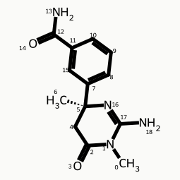 CN1C(=O)C[C@@](C)(c2cccc(C(N)=O)c2)N=C1N